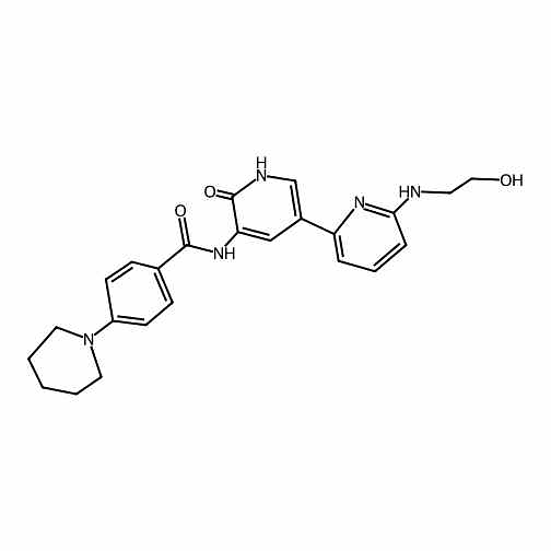 O=C(Nc1cc(-c2cccc(NCCO)n2)c[nH]c1=O)c1ccc(N2CCCCC2)cc1